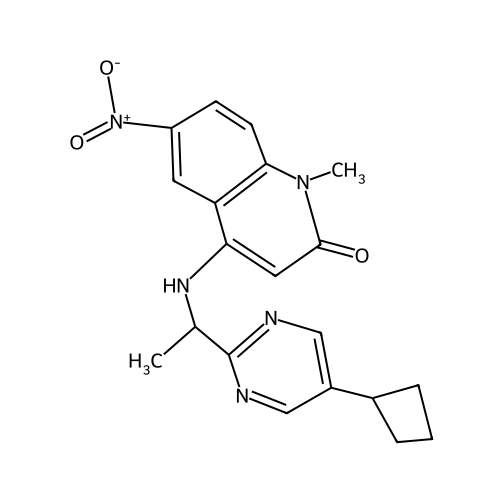 CC(Nc1cc(=O)n(C)c2ccc([N+](=O)[O-])cc12)c1ncc(C2CCC2)cn1